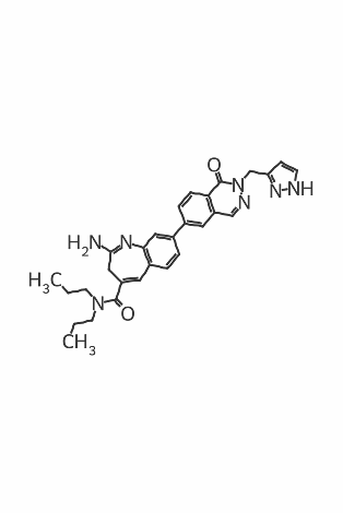 CCCN(CCC)C(=O)C1=Cc2ccc(-c3ccc4c(=O)n(Cc5cc[nH]n5)ncc4c3)cc2N=C(N)C1